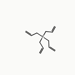 C=CC[P](CC=C)(CC=C)CC=C